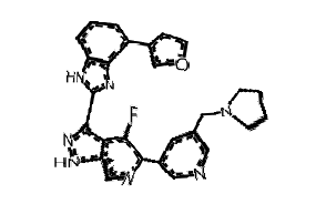 Fc1c(-c2cncc(CN3CCCC3)c2)ncc2[nH]nc(-c3nc4c(-c5ccoc5)cccc4[nH]3)c12